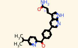 CC(C)c1ccc(C(=O)c2ccc(-c3cnc4[nH]cc(/C=C/C(N)=O)c4c3)cc2)nc1